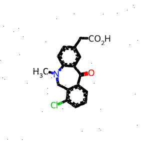 CN1Cc2c(Cl)cccc2C(=O)c2cc(CC(=O)O)ccc21